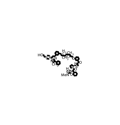 CN[C@@H](C)C(=O)N[C@H](C(=O)N1CCC[C@H]1c1nc(C(=O)c2cccc(OCCCC(C)(C)CCC(C)(C)CCc3cccc(-c4cc(N5CCN(CCO)CC5)n5nc(C)c(-c6ccccc6)c5n4)c3)c2)cs1)C1CCCCC1